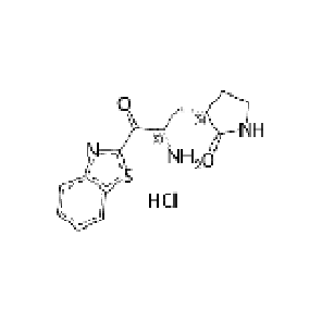 Cl.N[C@@H](C[C@@H]1CCNC1=O)C(=O)c1nc2ccccc2s1